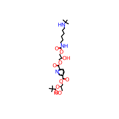 CC(C)(C)NCCCCCCNC(=O)OCC(O)COC(=O)c1ccc(C(=O)OCC(CO)OC(=O)C(C)(C)C)cn1